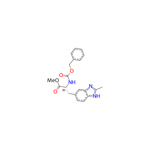 COC(=O)[C@@H](Cc1ccc2[nH]c(C)nc2c1)NC(=O)OCc1ccccc1